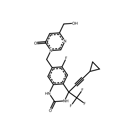 O=C1Nc2cc(Cn3cnc(CO)cc3=O)c(F)cc2C(C#CC2CC2)(C(F)(F)F)N1